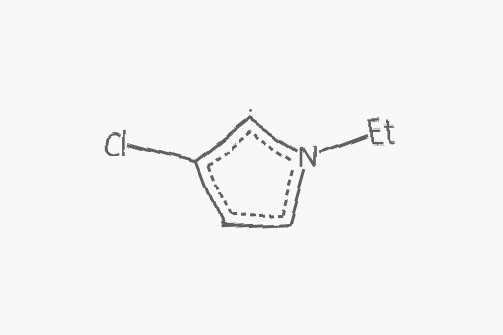 CCn1[c]c(Cl)cc1